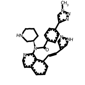 Cn1cc(-c2ccc(C(=O)N(c3nccc4cccc(/C=C/c5cn[nH]c5)c34)[C@@H]3CCCNC3)cc2)nn1